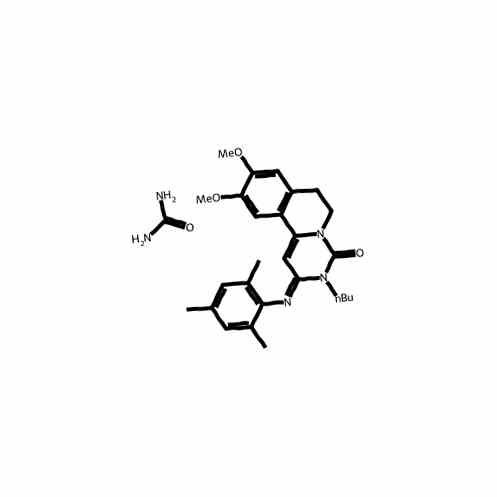 CCCCn1c(=Nc2c(C)cc(C)cc2C)cc2n(c1=O)CCc1cc(OC)c(OC)cc1-2.NC(N)=O